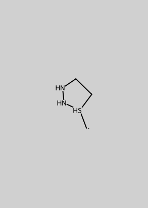 [CH2][SH]1CCNN1